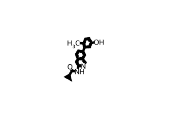 Cc1ccc(O)cc1-c1ccc2cc(NC(=O)C3CC3)ncc2c1